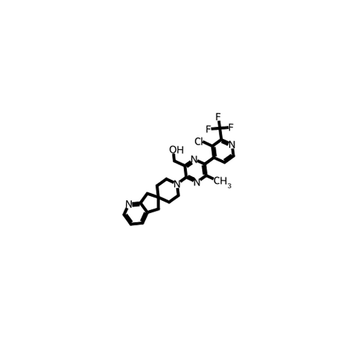 Cc1nc(N2CCC3(CC2)Cc2cccnc2C3)c(CO)nc1-c1ccnc(C(F)(F)F)c1Cl